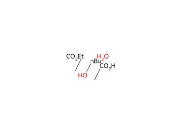 CC(=O)O.CCCCO.CCOC(C)=O.O